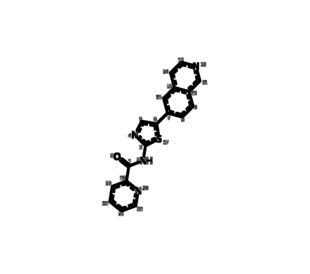 O=C(Nc1ncc(-c2ccc3cnccc3c2)s1)c1ccccn1